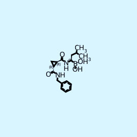 CC(C)C[C@H](NC(=O)[C@@H]1C[C@H]1C(=O)NCc1ccccc1)B(O)O